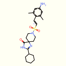 Cc1cc(N)cc(C)c1/C=C/S(=O)(=O)N1CCC2(CC1)N=C(C1CCCCC1)NC2=O